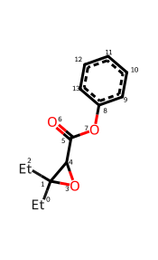 CCC1(CC)OC1C(=O)Oc1ccccc1